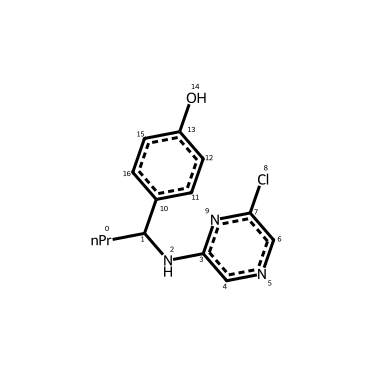 CCCC(Nc1cncc(Cl)n1)c1ccc(O)cc1